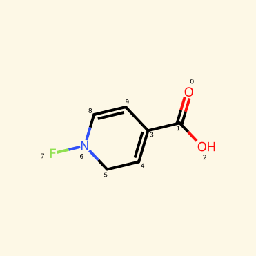 O=C(O)C1=CCN(F)C=C1